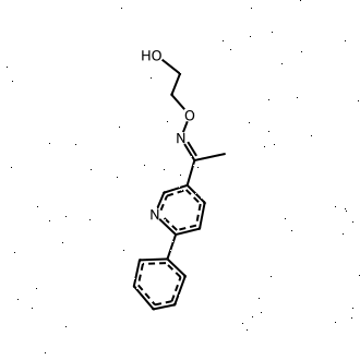 CC(=NOCCO)c1ccc(-c2ccccc2)nc1